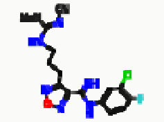 CNC(=NC#N)NCCCc1nonc1C(=N)Nc1ccc(F)c(Cl)c1